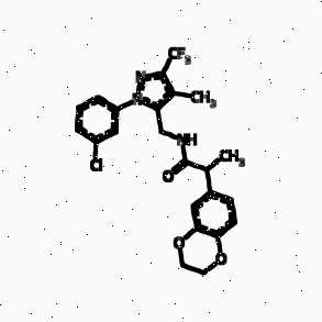 Cc1c(C(F)(F)F)nn(-c2cccc(Cl)c2)c1CNC(=O)C(C)c1ccc2c(c1)OCCO2